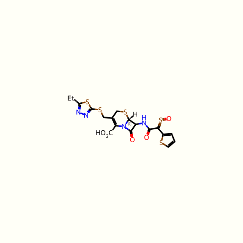 CCc1nnc(SCC2=C(C(=O)O)N3C(=O)C(NC(=O)C(=S=O)c4cccs4)[C@H]3SC2)s1